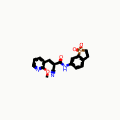 COc1ncccc1C=C(C#N)C(=O)Nc1ccc2c(c1)S(=O)(=O)C=C2